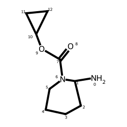 NC1CCCCN1C(=O)OC1CC1